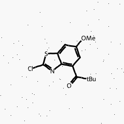 COc1cc(C(=O)C(C)(C)C)c2nc(Cl)sc2c1